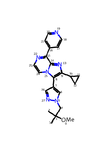 COC(C)(C)Cn1cc(-c2c(C3CC3)nc3c(-c4ccncc4)nccn23)cn1